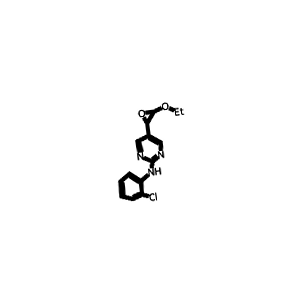 CCOC1OC1c1cnc(Nc2ccccc2Cl)nc1